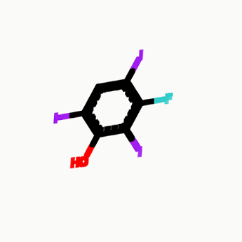 Oc1c(I)cc(I)c(F)c1I